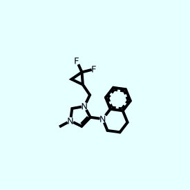 CN1C=C(N2CCCc3ccccc32)N(CC2CC2(F)F)C1